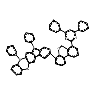 c1ccc(-c2nc(-c3ccccc3)nc(-c3cccc4c3COc3c(-c5ccc6c(c5)c5cc7c(cc5n6-c5ccccc5)N(c5ccccc5)c5ccccc5S7)cccc3-4)n2)cc1